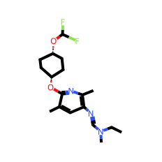 CCN(C)C=Nc1cc(C)c(O[C@H]2CC[C@@H](OC(F)F)CC2)nc1C